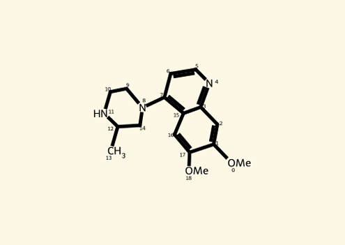 COc1cc2nccc(N3CCNC(C)C3)c2cc1OC